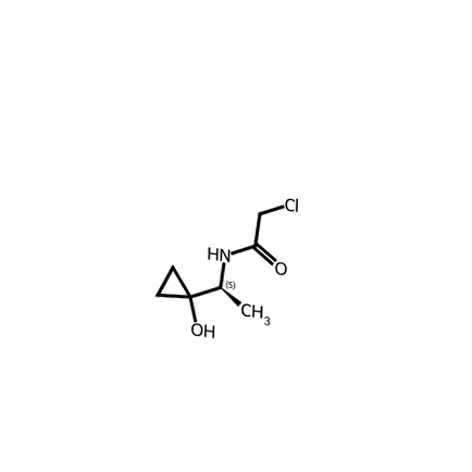 C[C@H](NC(=O)CCl)C1(O)CC1